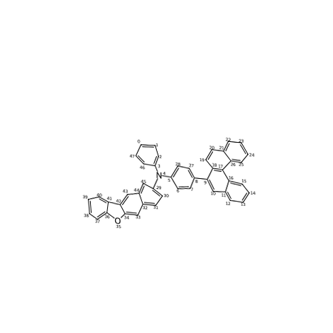 c1ccc(N(c2ccc(-c3cc4ccccc4c4c3ccc3ccccc34)cc2)c2ccc3cc4oc5ccccc5c4cc3c2)cc1